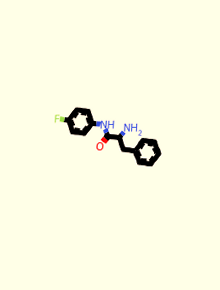 NC(Cc1ccccc1)C(=O)Nc1ccc(F)cc1